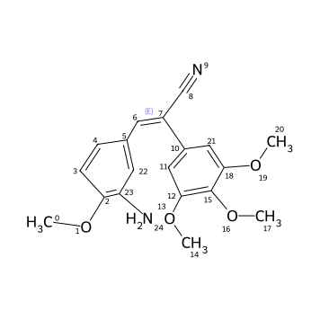 COc1ccc(/C=C(/C#N)c2cc(OC)c(OC)c(OC)c2)cc1N